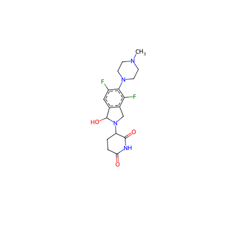 CN1CCN(c2c(F)cc3c(c2F)CN(C2CCC(=O)NC2=O)C3O)CC1